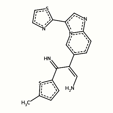 Cc1ccc(C(=N)/C(=C\N)c2ccc3ncc(-c4nccs4)n3c2)s1